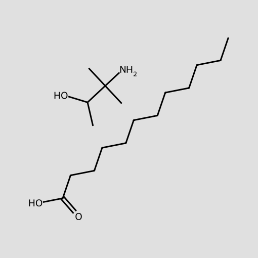 CC(O)C(C)(C)N.CCCCCCCCCCCC(=O)O